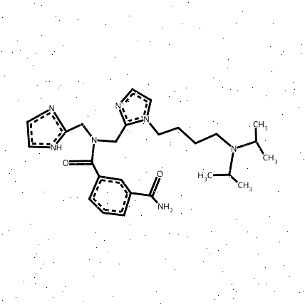 CC(C)N(CCCCn1ccnc1CN(Cc1ncc[nH]1)C(=O)c1cccc(C(N)=O)c1)C(C)C